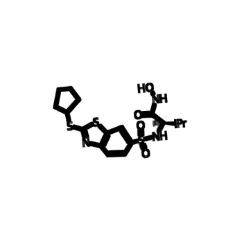 CC(C)[C@@H](NS(=O)(=O)c1ccc2nc(SC3CCCC3)sc2c1)C(=O)NO